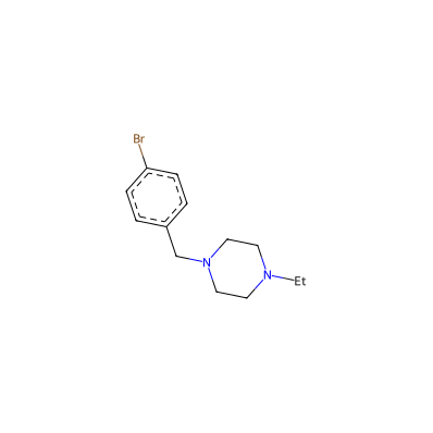 CCN1CCN(Cc2ccc(Br)cc2)CC1